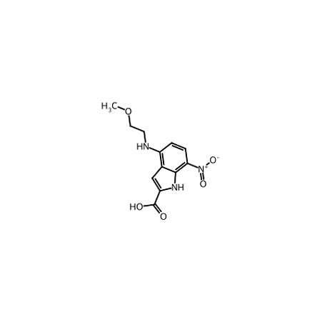 COCCNc1ccc([N+](=O)[O-])c2[nH]c(C(=O)O)cc12